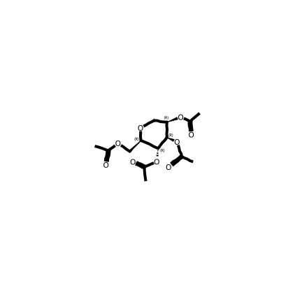 CC(=O)OC[C@H]1O[CH][C@@H](OC(C)=O)[C@@H](OC(C)=O)[C@@H]1OC(C)=O